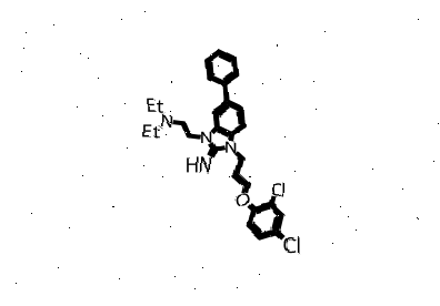 CCN(CC)CCn1c(=N)n(CCCOc2ccc(Cl)cc2Cl)c2ccc(-c3ccccc3)cc21